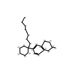 CCCCCCCC1(c2ccc3c(c2)CCC(C)C3)CCCCC1